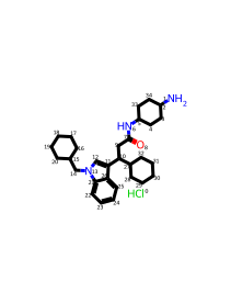 Cl.NC1CCC(NC(=O)CC(c2cn(CC3CCCCC3)c3ccccc23)C2CCCCC2)CC1